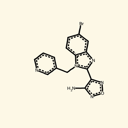 Nc1nonc1-c1nc2cc(Br)ccc2n1Cc1cccnc1